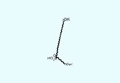 CCCCCCCCCCCCCCCCCCCCCCCCCCCCCCCCCCCCCCCC(=O)C(CCCCCCCCCCCCCCCC)C(=O)O